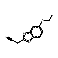 CCOc1ccc2nc(CC#N)sc2c1